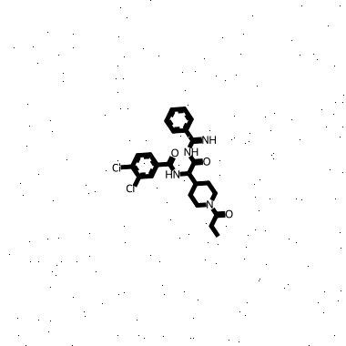 CCC(=O)N1CCC(C(NC(=O)c2ccc(Cl)c(Cl)c2)C(=O)NC(=N)c2ccccc2)CC1